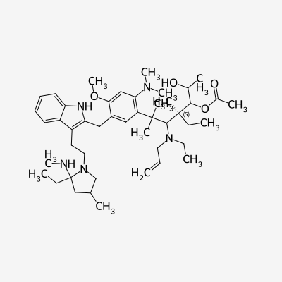 C=CCN(CC)C(C(C)(C)c1cc(Cc2[nH]c3ccccc3c2CCN2CC(C)CC2(CC)NC)c(OC)cc1N(C)C)[C@](C)(CC)C(OC(C)=O)C(C)O